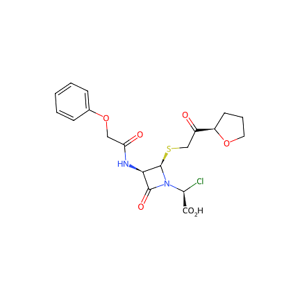 O=C(COc1ccccc1)N[C@@H]1C(=O)N([C@@H](Cl)C(=O)O)[C@@H]1SCC(=O)[C@H]1CCCO1